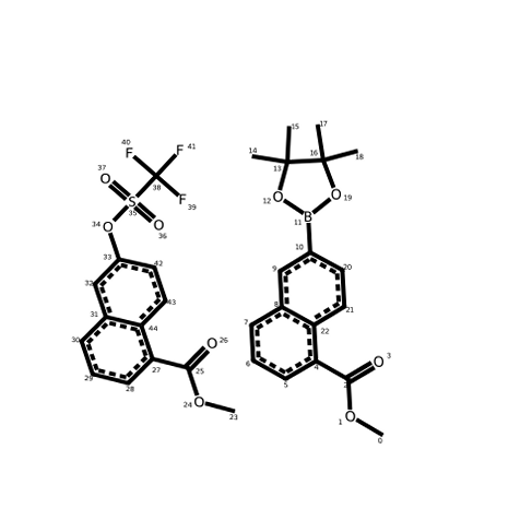 COC(=O)c1cccc2cc(B3OC(C)(C)C(C)(C)O3)ccc12.COC(=O)c1cccc2cc(OS(=O)(=O)C(F)(F)F)ccc12